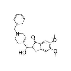 COc1cc2c(cc1OC)C(=O)C(C(O)C1=CCN(Cc3ccccc3)CC1)C2